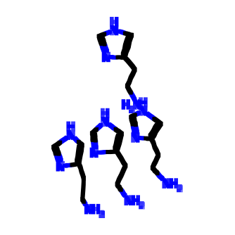 NCCc1c[nH]cn1.NCCc1c[nH]cn1.NCCc1c[nH]cn1.NCCc1c[nH]cn1